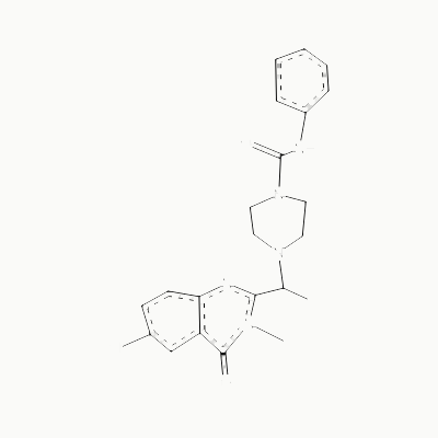 CC(c1nc2ccc(Cl)cc2c(=O)n1C)N1CCN(C(=O)Nc2ccccc2)CC1